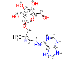 C/C(=C/CNc1ncnc2nc[nH]c12)CO[C@@H]1O[C@H](CO)[C@@H](O)[C@H](O)[C@H]1O